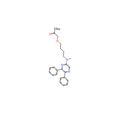 COC(=O)COCCCCN(C)c1cnc(-c2ccccc2)c(-c2ccccc2)n1